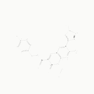 Cn1cc(-c2cc3cc(C(=O)NCc4ccc(Cl)cc4)c(=O)n(CC(=O)O)c3nc2N)cn1